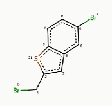 BrCc1cc2cc(Br)ccc2s1